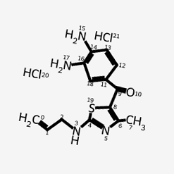 C=CCNc1nc(C)c(C(=O)c2ccc(N)c(N)c2)s1.Cl.Cl